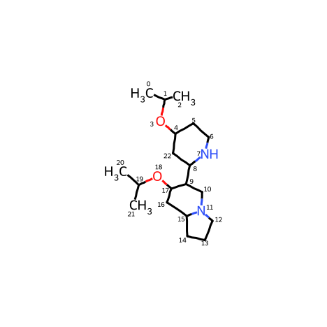 CC(C)OC1CCNC(C2CN3CCCC3CC2OC(C)C)C1